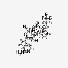 C[C@H](N[P@](=O)(Oc1ccccc1)OC1[C@@]2(C#N)O[C@@H](c3ccc4c(N)ncnn34)[C@H](O)[C@@]12O)C(=O)OCC(C)(C)C(F)(F)F